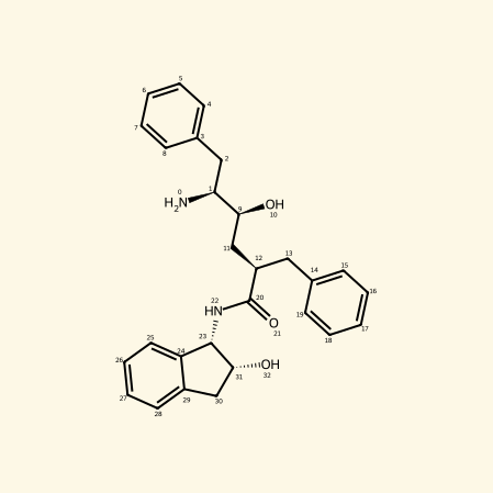 N[C@@H](Cc1ccccc1)[C@@H](O)C[C@@H](Cc1ccccc1)C(=O)N[C@H]1c2ccccc2C[C@H]1O